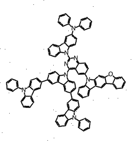 c1ccc(N(c2ccccc2)c2ccc3c(c2)c2ccccc2n3-c2nc(-n3c4ccc(-c5ccc6c(c5)c5ccccc5n6-c5ccccc5)cc4c4cc(-c5ccc6c(c5)c5ccccc5n6-c5ccccc5)ccc43)c3cc(-n4c5ccccc5c5cc6c(cc54)oc4ccccc46)ccc3n2)cc1